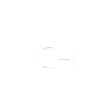 O=[N+]([O-])c1cc(Cl)cc(Br)c1Cl